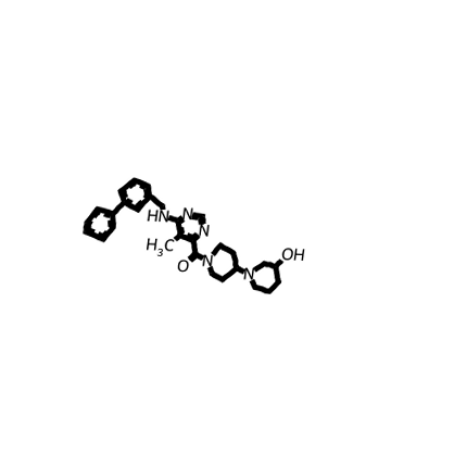 Cc1c(NCc2cccc(-c3ccccc3)c2)ncnc1C(=O)N1CCC(N2CCCC(O)C2)CC1